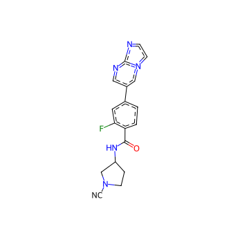 N#CN1CCC(NC(=O)c2ccc(-c3cnc4nccn4c3)cc2F)C1